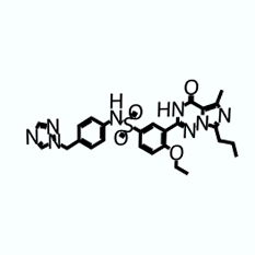 CCCc1nc(C)c2c(=O)[nH]c(-c3cc(S(=O)(=O)Nc4ccc(Cn5cncn5)cc4)ccc3OCC)nn12